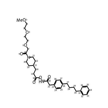 COCCOCCOCC(=O)N1CCC(CCC(=O)ONC(=O)Cc2ccc(CCCCc3ccccc3)cc2)CC1